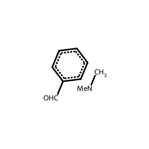 CNC.O=[C]c1ccccc1